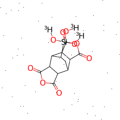 [3H]O[Si](O[3H])(O[3H])C1CC2C3C(=O)OC(=O)C3C1C1C(=O)OC(=O)C21